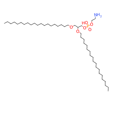 CCCCCCCCCCCCCCCCCCCCOCC(COP(=O)(O)OCCN)OCCCCCCCCCCCCCCCCCCCC